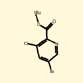 CC(C)(C)OC(=O)c1ncc(Br)cc1Cl